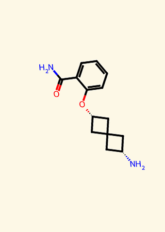 NC(=O)c1ccccc1O[C@H]1CC2(C[C@@H](N)C2)C1